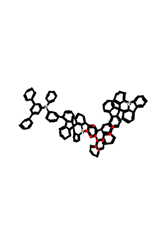 c1ccc(-c2cc(-c3ccccc3)cc(N(c3ccccc3)c3cccc(-c4cccc5c4-c4ccccc4C54c5ccccc5-n5c6cc(-c7ccccc7-c7ccccc7-c7ccccc7N(c7ccccc7)c7cccc(-c8ccc9c(c8)-c8ccccc8C98c9ccccc9-n9c%10ccccc%10c%10cccc8c%109)c7)ccc6c6cccc4c65)c3)c2)cc1